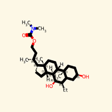 CC[C@@H]1C2C[C@H](O)CC[C@]2(C)[C@H]2CC[C@]3(C)[C@@H]([C@H](C)CCOC(=O)N(C)C)CC[C@H]3[C@@H]2[C@@H]1O